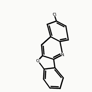 Clc1ccc2nc3c(cc2c1)oc1ccccc13